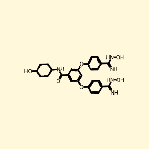 N=C(NO)c1ccc(Oc2cc(Oc3ccc(C(=N)NO)cc3)cc(C(=O)NC3CCC(O)CC3)c2)cc1